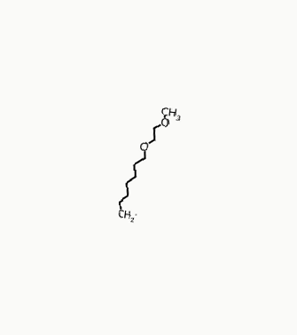 [CH2]CCCCCCOCCOC